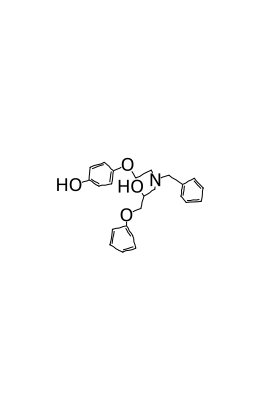 Oc1ccc(OCCN(Cc2ccccc2)CC(O)COc2ccccc2)cc1